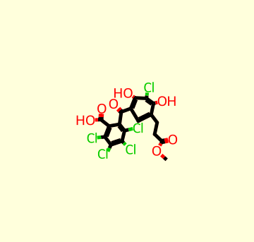 COC(=O)CCc1cc(C(=O)c2c(Cl)c(Cl)c(Cl)c(Cl)c2C(=O)O)c(O)c(Cl)c1O